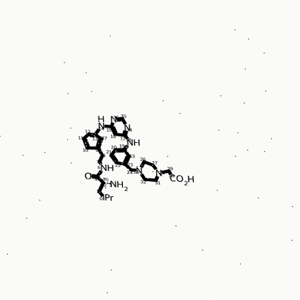 CC(C)C[C@@H](N)C(=O)NCCc1cccc(Nc2cc(Nc3cccc(CN4CCN(CC(=O)O)CC4)c3)ncn2)c1